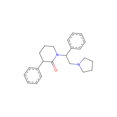 O=C1C(c2ccccc2)CCCN1C(CN1CCCC1)c1ccccc1